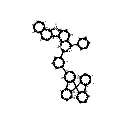 c1ccc(-c2nc(-c3cccc(-c4ccc5c(c4)-c4ccccc4C54c5ccccc5-c5ccccc54)c3)nc3c2ccc2oc4c5ccccc5ccc4c23)cc1